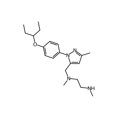 CCC(CC)Oc1ccc(-n2nc(C)cc2CN(C)CCNC)cc1